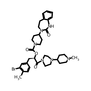 Cc1ccc(C[C@@H](OC(=O)N2CCC(N3CCc4ccccc4NC3=O)CC2)C(=O)N2CCN(C3CCN(C)CC3)CC2)cc1Br